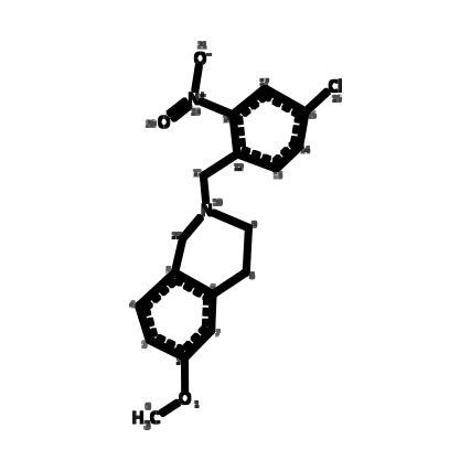 COc1ccc2c(c1)CCN(Cc1ccc(Cl)cc1[N+](=O)[O-])C2